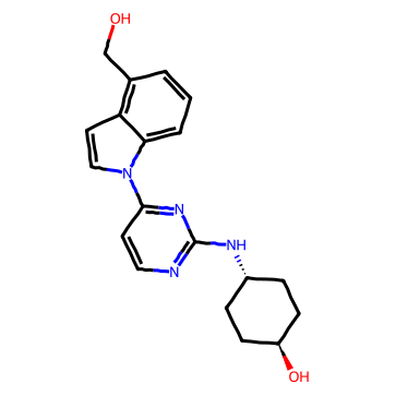 OCc1cccc2c1ccn2-c1ccnc(N[C@H]2CC[C@H](O)CC2)n1